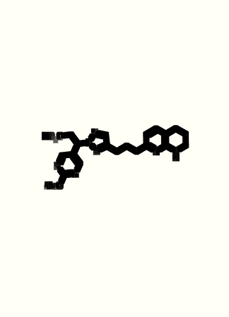 COc1ncc(C(CC(=O)O)n2ncc(CCCc3ccc4c(n3)NCCC4)n2)cn1